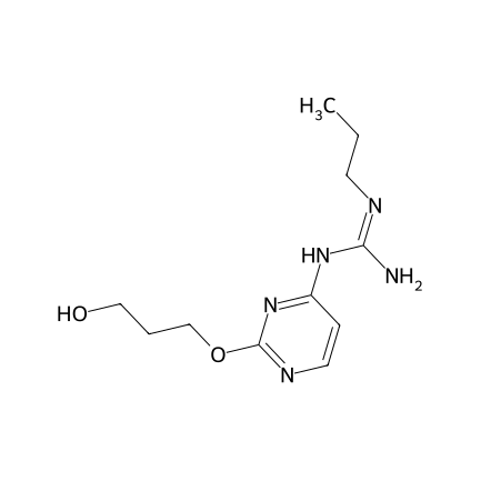 CCC/N=C(/N)Nc1ccnc(OCCCO)n1